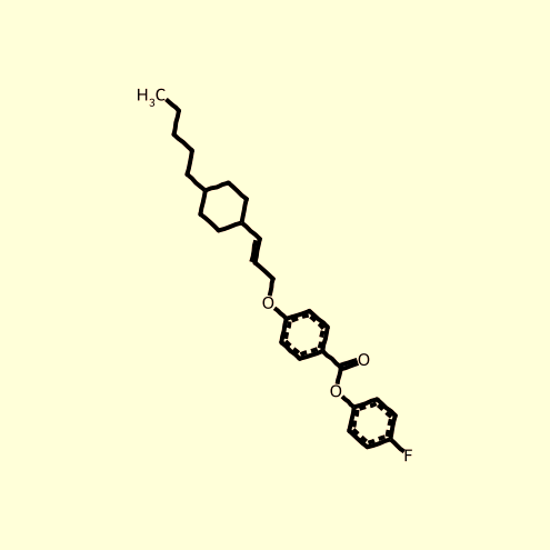 CCCCCC1CCC(C=CCOc2ccc(C(=O)Oc3ccc(F)cc3)cc2)CC1